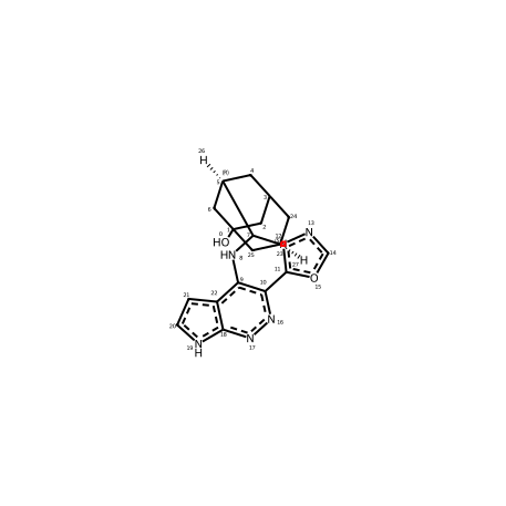 OC12CC3C[C@H](C1)C(Nc1c(-c4nnco4)nnc4[nH]ccc14)[C@@H](C3)C2